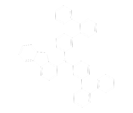 c1ccc(-c2ccccc2-c2cccc(N(c3cccc(-c4ccccc4-c4ccccc4)c3)c3cccc4c3sc3ccccc34)c2)cc1